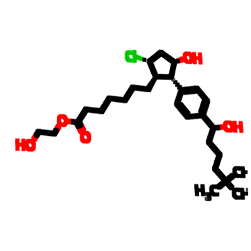 CC(C)(C)CCCC(O)c1ccc([C@@H]2[C@@H](CCCCCCC(=O)OCCO)[C@H](Cl)C[C@H]2O)cc1